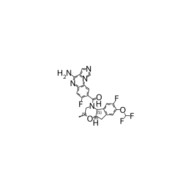 C[C@H]1CN(C(=O)c2cc3c(cc2F)nc(N)c2cncn23)[C@H]2c3cc(F)c(OC(F)F)cc3C[C@H]2O1